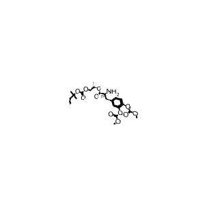 CCC(C)(C)OC(=O)OC[C@H](C)OC(=O)[C@@H](N)Cc1ccc(OC(=O)OC)c(OC(=O)OC)c1